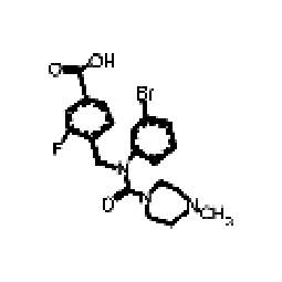 CN1CCN(C(=O)N(Cc2ccc(C(=O)O)cc2F)c2cccc(Br)c2)CC1